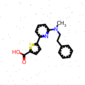 CN(CCc1ccccc1)c1cccc(-c2ccc(C(=O)O)s2)n1